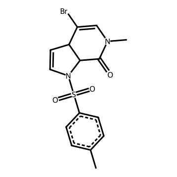 Cc1ccc(S(=O)(=O)N2C=CC3C(Br)=CN(C)C(=O)C32)cc1